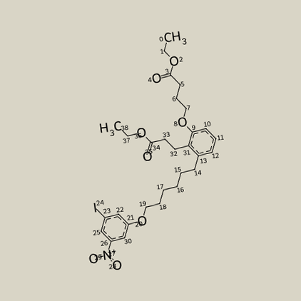 CCOC(=O)CCCOc1cccc(CCCCCCOc2cc(I)cc([N+](=O)[O-])c2)c1CCC(=O)OCC